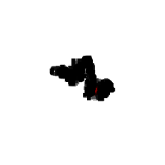 Cc1ccsc1-c1ccc(C(C)NC(=O)[C@@H]2C[C@@H](C)CN2C(=O)[C@@H](NC(=O)COCCOc2cccc(NC(=O)CC3N=C(c4ccc(Cl)cc4)c4c(sc(C)c4C)-n4c(C)nnc43)c2)C(C)(C)C)cc1